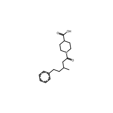 CC(CCc1ccccc1)CC(=O)N1CCC(C(=O)O)CC1